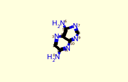 Nc1cnc2c(N)ncnc2n1